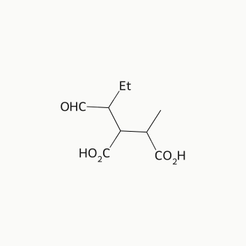 CCC(C=O)C(C(=O)O)C(C)C(=O)O